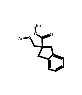 CC(=O)SCC1(C(=O)OC(C)(C)C)Cc2ccccc2C1